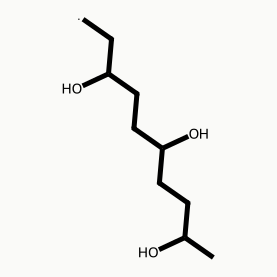 [CH2]CC(O)CCC(O)CCC(C)O